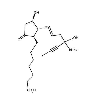 CC#CC(O)(CC=C[C@H]1[C@H](O)CC(=O)[C@@H]1CCCCCCC(=O)O)CCCCCC